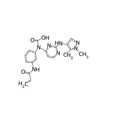 C=CC(=O)Nc1cccc(N(C(=O)O)c2ccnc(Nc3cnn(C)c3C)n2)c1